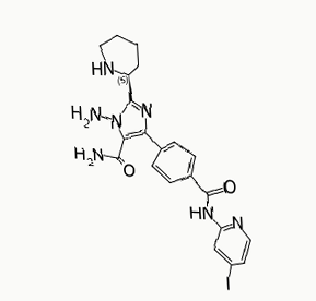 NC(=O)c1c(-c2ccc(C(=O)Nc3cc(I)ccn3)cc2)nc([C@@H]2CCCCN2)n1N